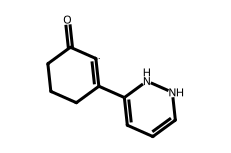 O=C1[C]=C(C2=CC=CNN2)CCC1